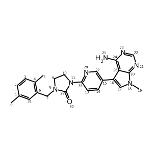 Cc1ccc(C)c(CN2CCN(c3ccc(-c4cn(C)c5ncnc(N)c45)cn3)C2=O)c1